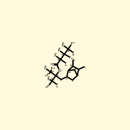 CC1C2CC(CC(OC(=O)C(F)(F)C(F)(F)C(F)(F)F)(C(F)(F)F)C(F)(F)F)C(C2)C1C